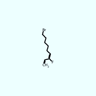 C=C/C(F)=C\CCCCCBr